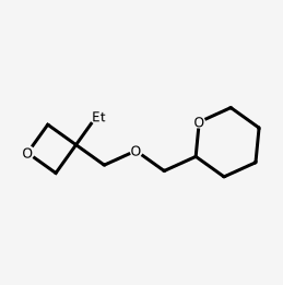 CCC1(COCC2CCCCO2)COC1